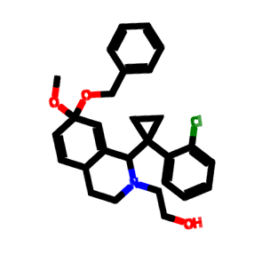 COC1(OCc2ccccc2)C=CC2CCN(CCO)C(C3(c4ccccc4Cl)CC3)C2=C1